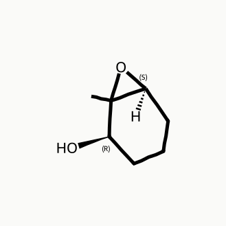 CC12O[C@H]1CCC[C@H]2O